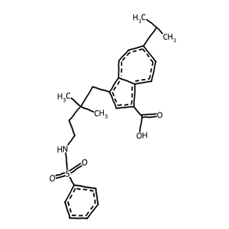 CC(C)c1ccc2c(CC(C)(C)CCNS(=O)(=O)c3ccccc3)cc(C(=O)O)c-2cc1